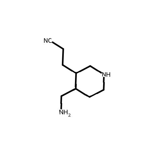 N#CCCC1CNCCC1CN